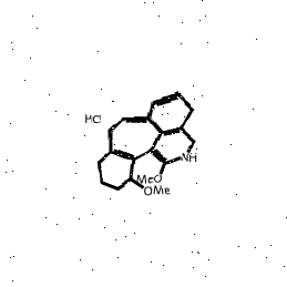 COC1=C2C3=C(CC=CC3=CCC3=C2C(OC)CCC3)CN1.Cl